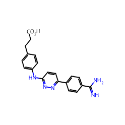 N=C(N)c1ccc(-c2ccc(Nc3ccc(CCC(=O)O)cc3)nn2)cc1